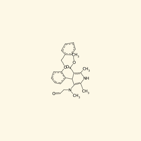 COC(=O)C1=C(C)NC(C)=C(N(C)CC=O)C1c1ccccc1OCc1ccccc1